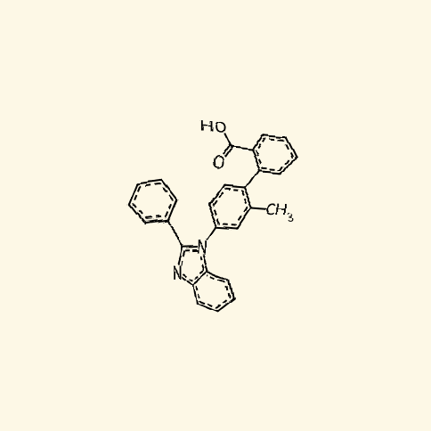 Cc1cc(-n2c(-c3ccccc3)nc3ccccc32)ccc1-c1ccccc1C(=O)O